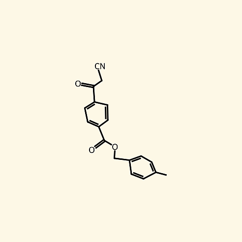 Cc1ccc(COC(=O)c2ccc(C(=O)CC#N)cc2)cc1